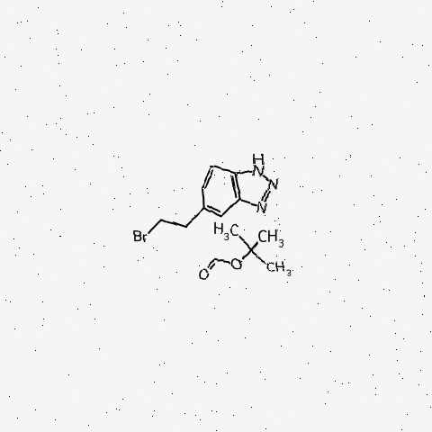 BrCCc1ccc2[nH]nnc2c1.CC(C)(C)OC=O